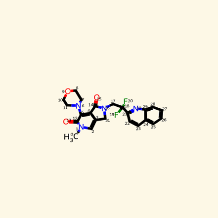 Cn1cc2c(c(N3CCOCC3)c1=O)C(=O)N(CC(F)(F)c1ccc3ccccc3n1)C2